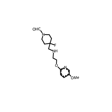 COc1ccc(OCCNCC2(F)CCN(C=O)CC2)nc1